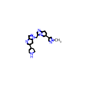 Cn1cc(-c2ccc3ncc(Cn4ncc5ncc(C6=CCNCC6)cc54)n3c2)cn1